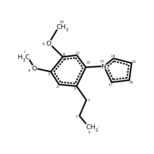 [CH2]CCc1cc(OC)c(OC)cc1-n1cccc1